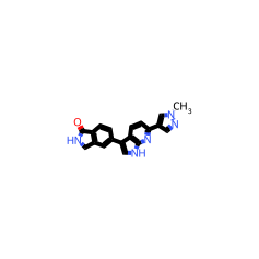 Cn1cc(-c2ccc3c(-c4ccc5c(c4)CNC5=O)c[nH]c3n2)cn1